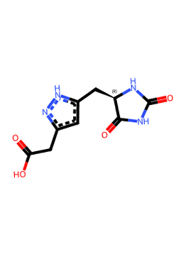 O=C(O)Cc1cc(C[C@H]2NC(=O)NC2=O)[nH]n1